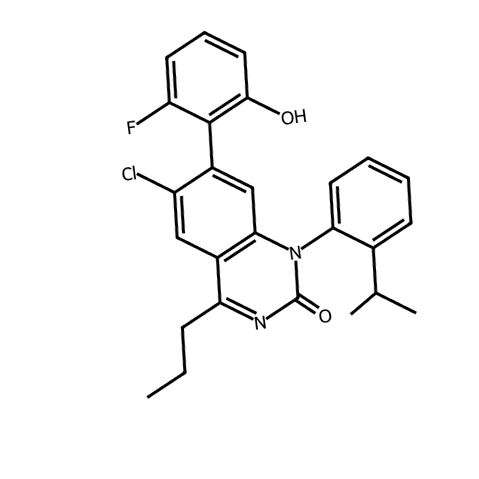 CCCc1nc(=O)n(-c2ccccc2C(C)C)c2cc(-c3c(O)cccc3F)c(Cl)cc12